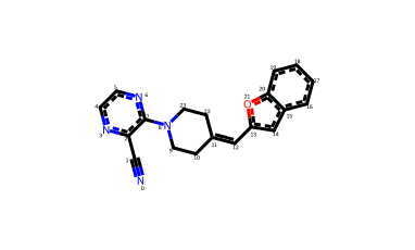 N#Cc1nccnc1N1CCC(=Cc2cc3ccccc3o2)CC1